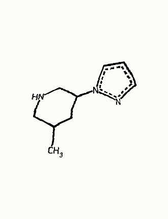 CC1CNCC(n2cccn2)C1